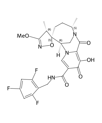 COC1=NO[C@@]2(CC[C@H](C)N3C[C@H]2n2cc(C(=O)NCc4c(F)cc(F)cc4F)c(=O)c(O)c2C3=O)[C@H]1C